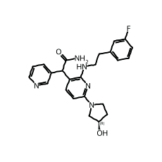 NC(=O)C(c1cccnc1)c1ccc(N2CC[C@@H](O)C2)nc1NCCc1cccc(F)c1